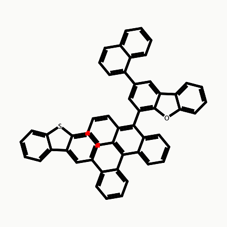 c1ccc(-c2c3ccccc3c(-c3cc(-c4cccc5ccccc45)cc4c3oc3ccccc34)c3ccccc23)c(-c2ccc3sc4ccccc4c3c2)c1